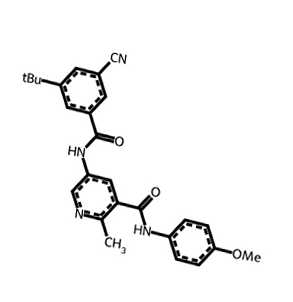 COc1ccc(NC(=O)c2cc(NC(=O)c3cc(C#N)cc(C(C)(C)C)c3)cnc2C)cc1